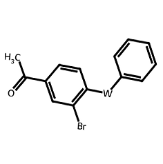 CC(=O)c1cc[c]([W][c]2ccccc2)c(Br)c1